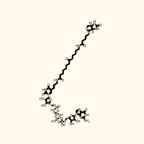 Nc1nc2c(ncn2[C@@H]2O[C@H](COP(=O)(O)OP(=O)(O)OP(=O)(O)OP(=O)(O)OC[C@H]3O[C@@H](n4cc(/C=C/CNC(=O)CCCCCCC(=O)CCCCCNC(=O)CCCC[C@H]5SC[C@H]6NC(=O)N[C@H]65)c(=O)[nH]c4=O)[C@@H](O)C3O)C(O)C2O)c(=O)[nH]1